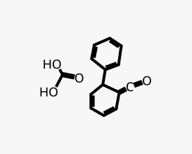 O=C(O)O.O=C=C1C=CC=CC1c1ccccc1